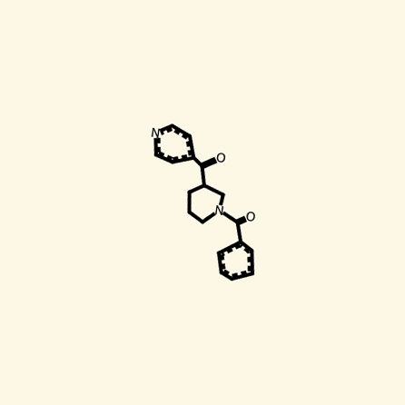 O=C(c1ccncc1)C1CCCN(C(=O)c2ccccc2)C1